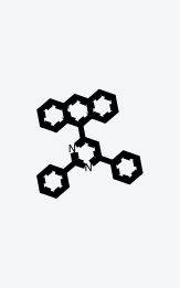 c1ccc(-c2cc(-c3c4ccccc4cc4ccccc34)nc(-c3ccccc3)n2)cc1